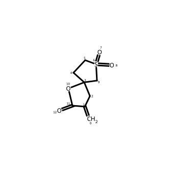 C=C1CC2(CCS(=O)(=O)C2)OC1=O